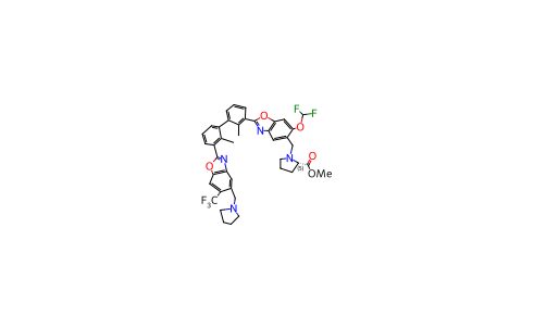 COC(=O)[C@@H]1CCCN1Cc1cc2nc(-c3cccc(-c4cccc(-c5nc6cc(CN7CCCC7)c(C(F)(F)F)cc6o5)c4C)c3C)oc2cc1OC(F)F